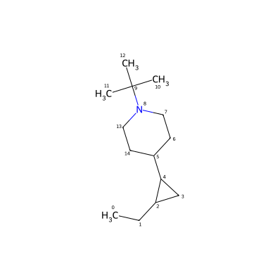 CCC1CC1C1CCN(C(C)(C)C)CC1